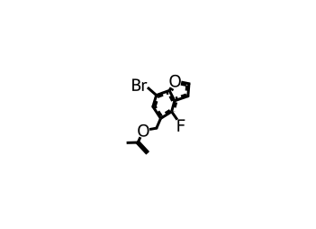 C=C(C)OCc1cc(Br)c2occc2c1F